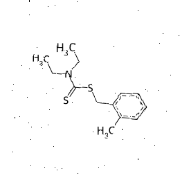 CCN(CC)C(=S)SCc1ccccc1C